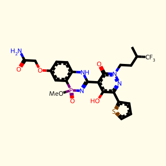 COP1(=O)N=C(c2c(O)c(-c3cccs3)nn(CCC(C)C(F)(F)F)c2=O)Nc2ccc(OCC(N)=O)cc21